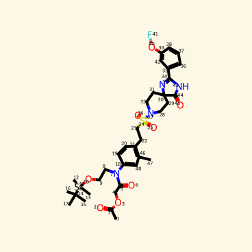 CC(=O)OCC(=O)N(CCO[Si](C)(C)C(C)(C)C)c1ccc(CCS(=O)(=O)N2CCC3(CC2)N=C(c2cccc(OF)c2)NC3=O)c(C)c1